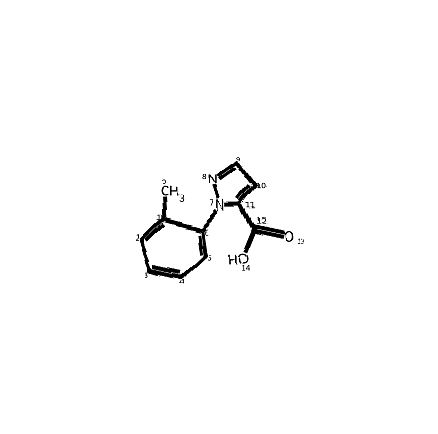 Cc1ccccc1-n1nccc1C(=O)O